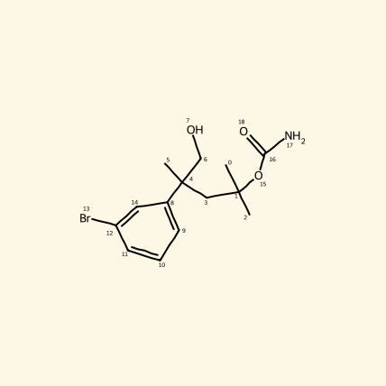 CC(C)(CC(C)(CO)c1cccc(Br)c1)OC(N)=O